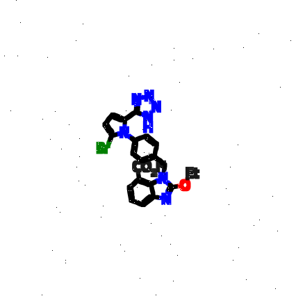 CCOc1nc2cccc(C(=O)O)c2n1Cc1ccc(-n2c(Br)ccc2-c2nnn[nH]2)cc1